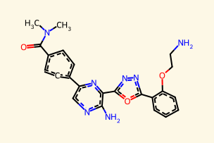 CN(C)C(=O)c1ccc(-c2cnc(N)c(-c3nnc(-c4ccccc4OCCN)o3)n2)cc1